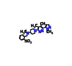 Cc1c(-c2ccnn2C)nnc(N2CCC(N(C)Cc3ccccc3[N+](=O)[O-])CC2)c1C